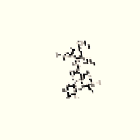 Cc1cc(C)c(CCC(=O)N2CCNC(=O)C[C@@H]2Cc2ccccc2)c(C)c1